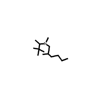 CCCCC(C)CN(C)C(C)C(C)(C)C